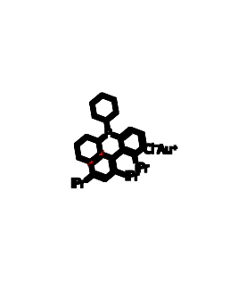 CC(C)c1ccc(-c2c(C(C)C)cccc2P(C2CCCCC2)C2CCCCC2)c(C(C)C)c1.[Au+].[Cl-]